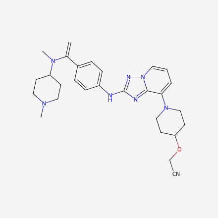 C=C(c1ccc(Nc2nc3c(N4CCC(OCC#N)CC4)cccn3n2)cc1)N(C)C1CCN(C)CC1